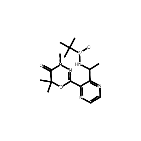 CC(N[S+]([O-])C(C)(C)C)c1nccnc1C1=NN(C)C(=O)C(C)(C)O1